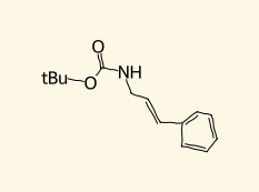 CC(C)(C)OC(=O)NCC=Cc1ccccc1